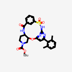 Cc1cccc(C)c1-c1cc2nc(n1)NS(=O)(=O)c1cccc(c1)C(=O)NC1CCN(C(=O)OC(C)(C)C)CC1O2